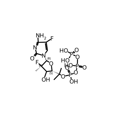 CC(C)(OP(=O)(O)OP(=O)(O)OP(=O)(O)O)[C@H]1O[C@@H](n2cc(F)c(N)nc2=O)[C@](C)(F)C1O